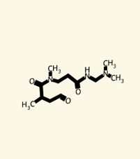 CC(CC=O)C(=O)N(C)CCC(=O)NCN(C)C